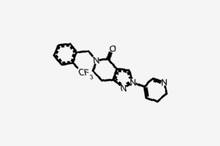 O=C1c2cn(C3=CCCN=C3)nc2CCN1Cc1ccccc1C(F)(F)F